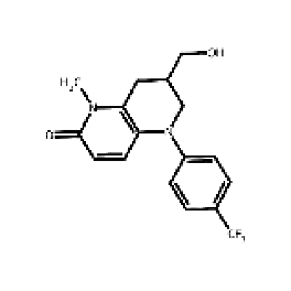 Cn1c2c(ccc1=O)N(c1ccc(C(F)(F)F)cc1)CC(CO)C2